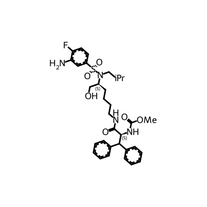 COC(=O)N[C@H](C(=O)NCCCC[C@@H](CO)N(CC(C)C)S(=O)(=O)c1ccc(F)c(N)c1)C(c1ccccc1)c1ccccc1